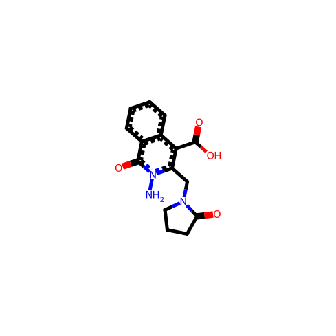 Nn1c(CN2CCCC2=O)c(C(=O)O)c2ccccc2c1=O